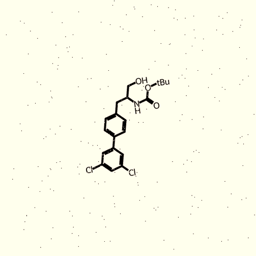 CC(C)(C)OC(=O)NC(CO)Cc1ccc(-c2cc(Cl)cc(Cl)c2)cc1